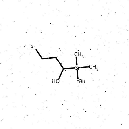 CC(C)(C)[Si](C)(C)C(O)CCBr